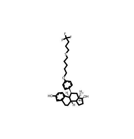 C[C@]12C[C@H](c3ccc(OCCCCCSCCCC(F)(F)F)cc3)[C@@H]3c4ccc(O)cc4CC[C@H]3[C@@H]1CC[C@@H]2O